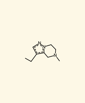 CCc1cnn2c1CN(C)CC2